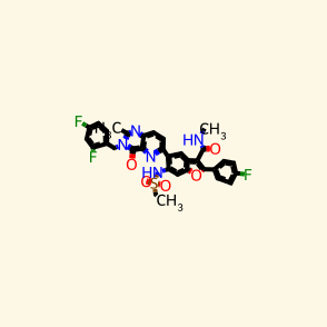 CCS(=O)(=O)Nc1cc2oc(-c3ccc(F)cc3)c(C(=O)NC)c2cc1-c1ccc2nc(C)n(Cc3ccc(F)cc3F)c(=O)c2n1